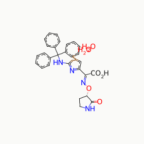 O.O.O=C(O)/C(=N\O[C@H]1CCNC1=O)c1csc(NC(c2ccccc2)(c2ccccc2)c2ccccc2)n1